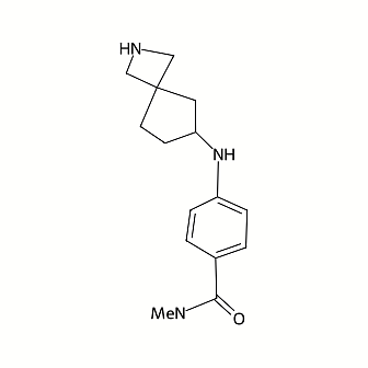 CNC(=O)c1ccc(NC2CCC3(CNC3)C2)cc1